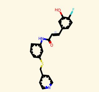 O=C(/C=C/c1ccc(F)c(O)c1)Nc1cccc(SCc2ccncc2)c1